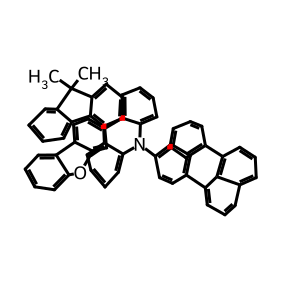 CC1(C)c2ccccc2-c2c(-c3ccccc3N(c3ccc(-c4cccc5cccc(-c6ccccc6)c45)cc3)c3ccccc3-c3ccc4c(c3)oc3ccccc34)cccc21